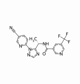 C[C@H](NC(=O)c1cncc(C(F)(F)F)c1)c1ncnn1-c1ccc(C#N)cn1